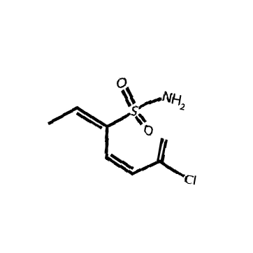 C=C(Cl)/C=C\C(=C/C)S(N)(=O)=O